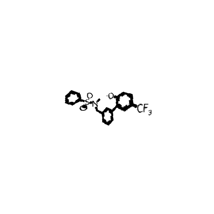 CN(Cc1cccc(-c2cc(C(F)(F)F)ccc2[O])c1)S(=O)(=O)c1ccccc1